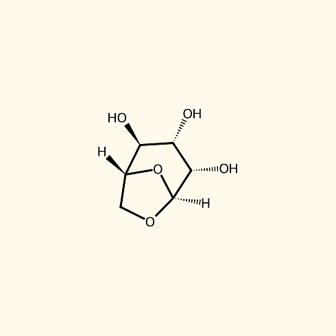 O[C@@H]1[C@H](O)[C@H]2OC[C@@H](O2)[C@H]1O